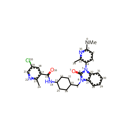 CNc1ccc(-n2c(=O)n(CC3CCC(NC(=O)c4cc(Cl)cnc4C)CC3)c3ccccc32)c(C)n1